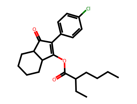 CCCCC(CC)C(=O)OC1=C(c2ccc(Cl)cc2)C(=O)C2CCCCC12